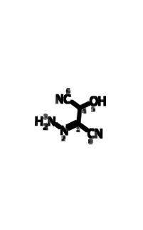 N#CC(=NN)C(O)C#N